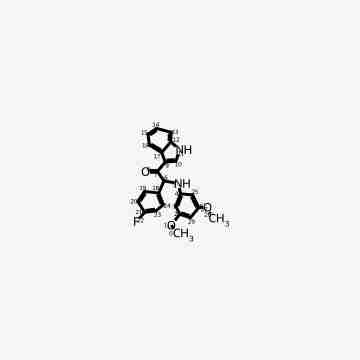 COc1cc(NC(C(=O)c2c[nH]c3ccccc23)c2ccc(F)cc2)cc(OC)c1